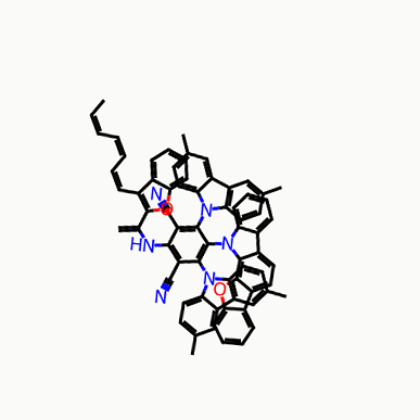 C=C(Nc1c(C#N)c(-n2c3ccc(C)cc3c3cc(C)ccc32)c(-n2c3ccccc3c3ccc4c5ccccc5oc4c32)c(-n2c3ccc(C)cc3c3cc(C)ccc32)c1C#N)c1oc2ccccc2c1\C=C/C=C\C=C/C